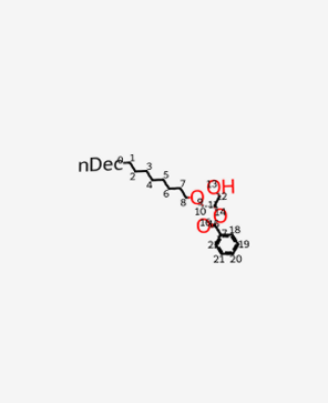 CCCCCCCCCCCCCCCCCCOC[C@H](CO)OC(=O)c1ccccc1